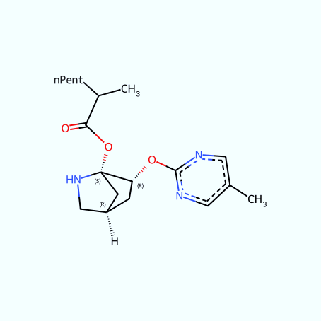 CCCCCC(C)C(=O)O[C@]12C[C@H](CN1)C[C@H]2Oc1ncc(C)cn1